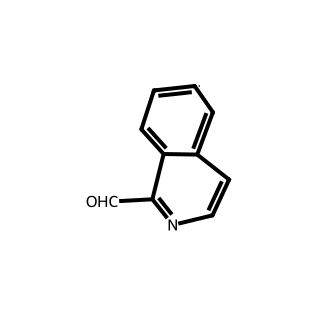 O=Cc1nccc2c[c]ccc12